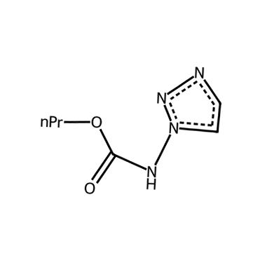 CCCOC(=O)Nn1ccnn1